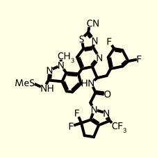 CSNc1nn(C)c2c(-c3cc4sc(C#N)nc4nc3C(Cc3cc(F)cc(F)c3)NC(=O)Cn3nc(C(F)(F)F)c4c3C(F)(F)CC4)cccc12